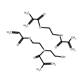 C=C(C)C(=O)NCCOC(=O)C(=C)C.C=CC(=O)OCCN(CCO)C(=O)C(=C)C